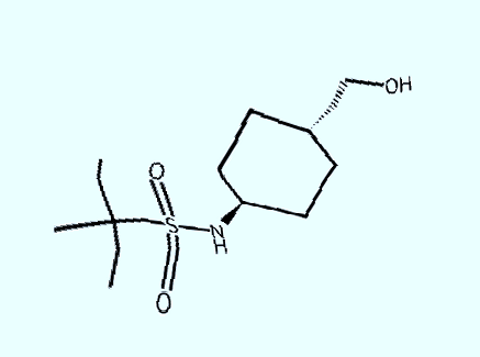 CC(C)(C)S(=O)(=O)N[C@H]1CC[C@H](CO)CC1